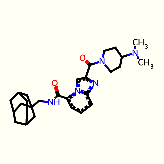 CN(C)C1CCN(C(=O)c2cn3c(C(=O)NCC45CC6CC(CC(C6)C4)C5)cccc3n2)CC1